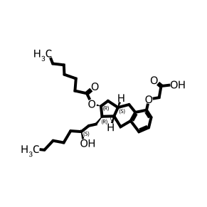 CCCCCCC(=O)O[C@@H]1C[C@@H]2Cc3c(cccc3OCC(=O)O)C[C@@H]2[C@H]1CC[C@@H](O)CCCCC